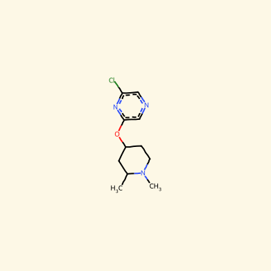 CC1CC(Oc2cncc(Cl)n2)CCN1C